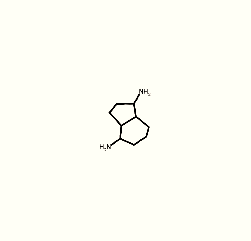 NC1CCC2C(N)CCCC12